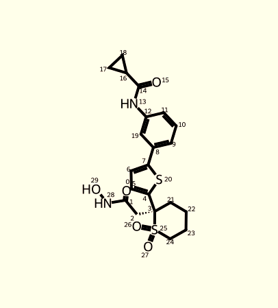 O=C(C[C@]1(c2ccc(-c3cccc(NC(=O)C4CC4)c3)s2)CCCCS1(=O)=O)NO